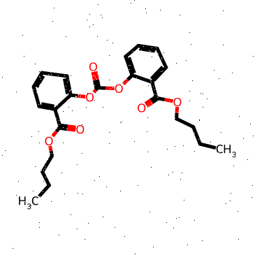 CCCCOC(=O)c1ccccc1OC(=O)Oc1ccccc1C(=O)OCCCC